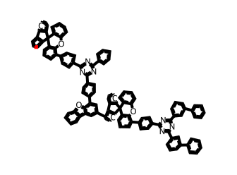 c1ccc(-c2cccc(-c3nc(-c4ccc(-c5cccc6c5Oc5ccccc5C65c6ccccc6-c6c(-c7cc(-c8ccc(-c9nc(-c%10ccccc%10)nc(-c%10ccc(-c%11cccc%12c%11Oc%11ccccc%11C%12%11c%12ccccc%12-c%12ccccc%12%11)cc%10)n9)cc8)c8oc9ccccc9c8c7)cccc65)cc4)nc(-c4cccc(-c5ccccc5)c4)n3)c2)cc1